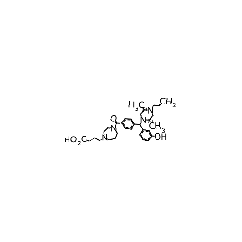 C=CCN1C[C@H](C)N(C(c2ccc(C(=O)N3CCCN(CCCC(=O)O)CC3)cc2)c2cccc(O)c2)C[C@H]1C